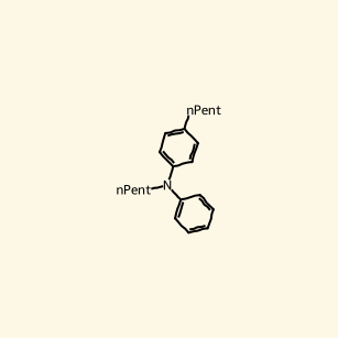 CCCCCc1ccc(N(CCCCC)c2ccccc2)cc1